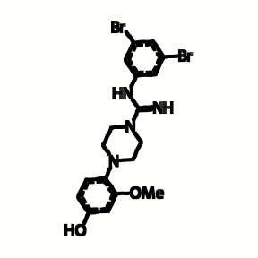 COc1cc(O)ccc1N1CCN(C(=N)Nc2cc(Br)cc(Br)c2)CC1